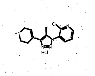 Cc1c(C2=CCNCC2)nnn1-c1cccnc1Cl.Cl